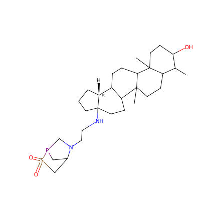 CC1C(O)CCC2(C)C1CCC1(C)C3CCC4(NCCN5CP6CC5CS6(=O)=O)CCC[C@@H]4C3CCC21